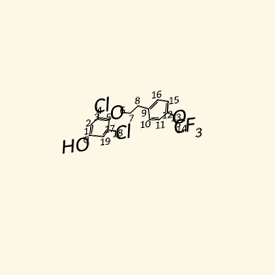 Oc1cc(Cl)c(OCCc2ccc(OC(F)(F)F)cc2)c(Cl)c1